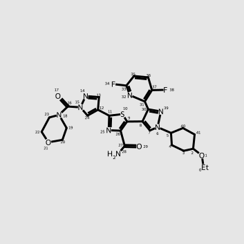 CCOC1CCC(n2cc(-c3sc(-c4cnn(C(=O)N5CCOCC5)c4)nc3C(N)=O)c(-c3nc(F)ccc3F)n2)CC1